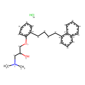 CN(C)CC(O)COc1ccccc1CCCCc1cccc2ccccc12.Cl